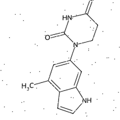 Cc1cc(N2CCC(=O)NC2=O)cc2[nH]ccc12